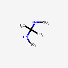 CC(C)(N[N+](=O)[O-])N[N+](=O)[O-]